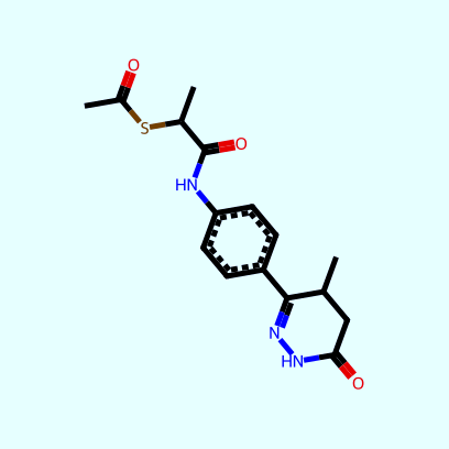 CC(=O)SC(C)C(=O)Nc1ccc(C2=NNC(=O)CC2C)cc1